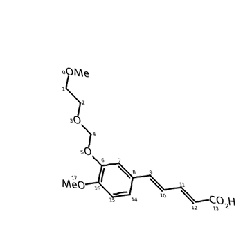 COCCOCOc1cc(C=CC=CC(=O)O)ccc1OC